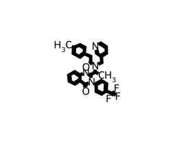 Cc1ccc(CC(=O)N(Cc2cccnc2)C(C)c2nc3ccccc3c(=O)n2-c2ccc(C(F)(F)F)cc2)cc1